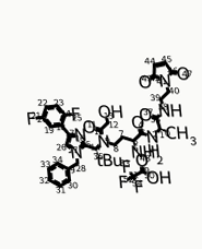 C[C@@H](NC(=O)[C@@H](N)CCN(C(=O)CO)[C@@H](c1nc(-c2cc(F)ccc2F)cn1Cc1ccccc1)C(C)(C)C)C(=O)NCCN1C(=O)C=CC1=O.O=C(O)C(F)(F)F